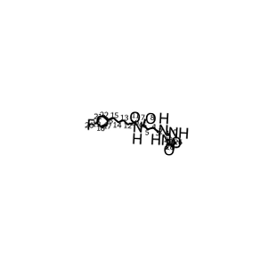 N=C(NCCCC(C=O)NC(=O)CCCCc1ccc(F)cc1)N[N+](=O)[O-]